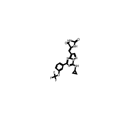 O=C1NC(=O)C(=Cc2cnn3c(NC4CC4)nc(-c4cccc(OC(F)(F)F)c4)nc23)N1